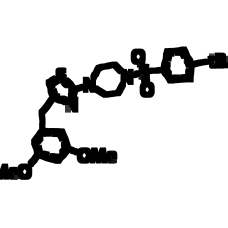 COc1cc(Cc2csc(N3CCN(S(=O)(=O)c4ccc(C(C)(C)C)cc4)CC3)n2)cc(OC)c1